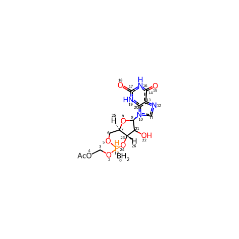 B[PH]1(OCOC(C)=O)OC[C@H]2O[C@@H](n3cnc4c(=O)[nH]c(=O)[nH]c43)C(O)[C@@H]2O1